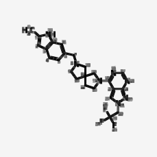 Cc1cc2ccc(CN3CCC4(CCN(c5ncnc6nn(CC(F)(F)F)cc56)C4)C3)cc2[nH]1